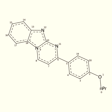 CCCOc1ccc(-c2ccn3c(n2)nc2ccccc23)cc1